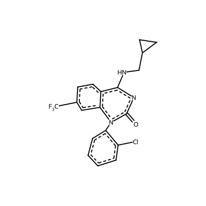 O=c1nc(NCC2CC2)c2ccc(C(F)(F)F)cc2n1-c1ccccc1Cl